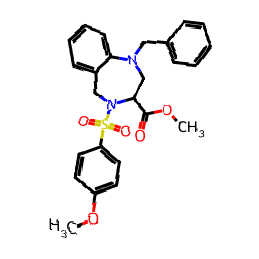 COC(=O)C1CN(Cc2ccccc2)c2ccccc2CN1S(=O)(=O)c1ccc(OC)cc1